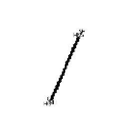 O=C(CCCCCCCCCCCCCCCCCCCCCCCCCCCCCCCCCCCCCNC(=S)S)NO